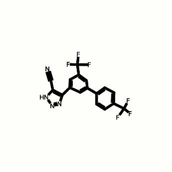 N#Cc1[nH]nnc1-c1cc(-c2ccc(C(F)(F)F)cc2)cc(C(F)(F)F)c1